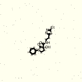 CCc1nnc(CCNC(=O)[C@@]2(O)CCN(c3ccccc3)C2=O)s1